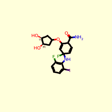 NC(=O)C1C=CC(F)(Nc2c(F)cccc2I)C=C1OC1C[C@@H](O)[C@@H](O)C1